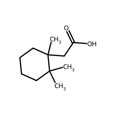 CC1(C)CCCCC1(C)CC(=O)O